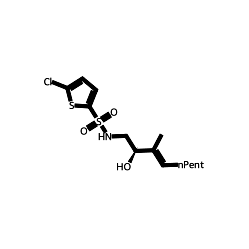 CCCCC/C=C(\C)[C@@H](O)CNS(=O)(=O)c1ccc(Cl)s1